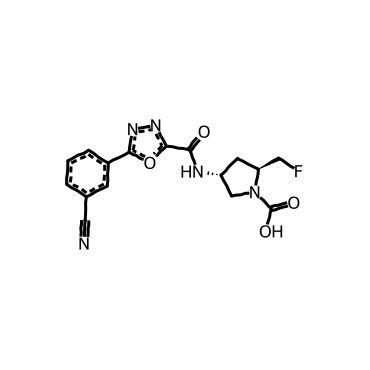 N#Cc1cccc(-c2nnc(C(=O)N[C@@H]3C[C@@H](CF)N(C(=O)O)C3)o2)c1